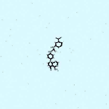 CC(C)c1cccc(NC(=O)Nc2ccc(-n3ccc(=O)c4c(N)ncnc43)cc2)c1